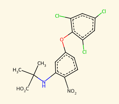 CC(C)(Nc1cc(Oc2c(Cl)cc(Cl)cc2Cl)ccc1[N+](=O)[O-])C(=O)O